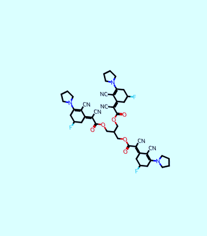 N#CC1=C(N2CCCC2)CC(F)C/C1=C(/C#N)C(=O)OCC(COC(=O)/C(C#N)=C1\CC(F)CC(N2CCCC2)=C1C#N)COC(=O)/C(C#N)=C1\CC(F)CC(N2CCCC2)=C1C#N